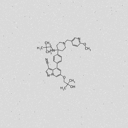 COc1ccc(CN2CCC(NSC(C)(C)C)(c3ccc(-c4cc(OCC(C)(C)O)cn5ncc(C#N)c45)cc3)CC2)cn1